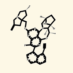 C#Cc1cccc2cncc(-c3nc4c5c(nc(OCC67CC(=C)CN6C[C@H](F)C7)nc5c3F)N3C[C@H]5CC[C@H](N5)[C@H]3[C@H](C)O4)c12